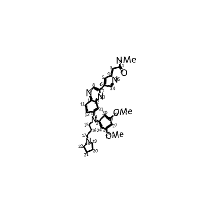 CNC(=O)CC1C=C(c2cnc3ccc(N(CCCN4CCCC4)c4cc(OC)cc(OC)c4)cc3n2)C=N1